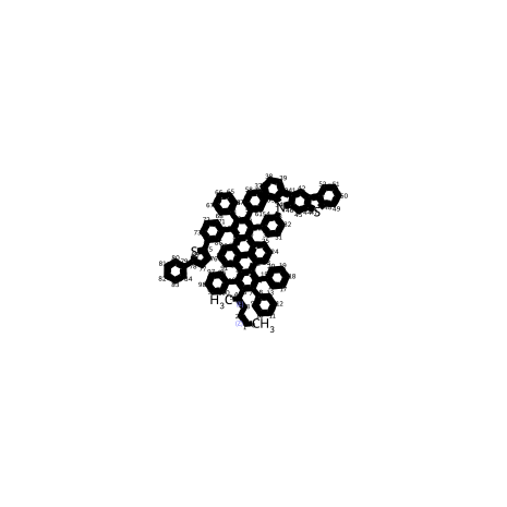 C/C=C\C=C(/C)c1c(-c2ccccc2)c(-c2ccccc2)c2c3cccc4c5c(-c6cccc(-n7c8ccccc8c8cc9c(cc87)sc7ccccc79)c6)c(-c6ccccc6)c(-c6ccccc6)c(-c6cccc(-c7ccc(-c8ccccc8)s7)c6)c5c5cccc(c2c1-c1ccccc1)c5c34